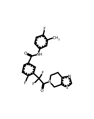 Cc1cc(NC(=O)c2ccc(F)c(C(F)(F)C(=O)N3CCc4ncsc4C3)c2)ccc1F